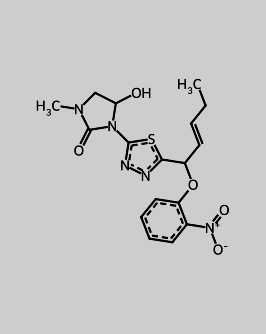 CCC=CC(Oc1ccccc1[N+](=O)[O-])c1nnc(N2C(=O)N(C)CC2O)s1